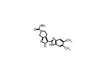 CCCCC(=O)N1CCc2c(n[nH]c2-c2nc3cc(C)c(C)cc3[nH]2)C1